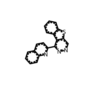 c1ccc2nc(-c3nncc4sc5ccccc5c34)ccc2c1